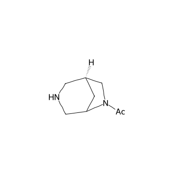 CC(=O)N1C[C@@H]2CNCC1C2